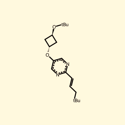 CC(C)(C)C/C=C/c1ncc(O[C@H]2C[C@H](OC(C)(C)C)C2)cn1